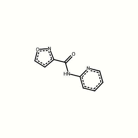 O=C(Nc1ccccn1)c1ccon1